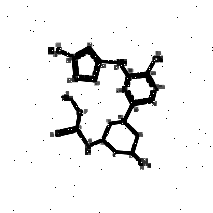 CC1CC(NC(=O)OC(C)(C)C)CN(c2cnc(C#N)c(Nc3cnn(C)c3)n2)C1